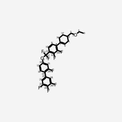 CCOCC1CC=C(c2ccc(C(F)(F)Oc3ccc(-c4cc(F)c(F)c(F)c4)c(F)c3)c(F)c2F)CC1